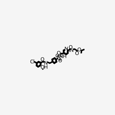 COc1ccc(Cl)cc1C(=O)NCCc1ccc(S(=O)(=O)NC(=O)c2ccc(C(=O)NCC(=O)OC(C)C)nc2)cc1